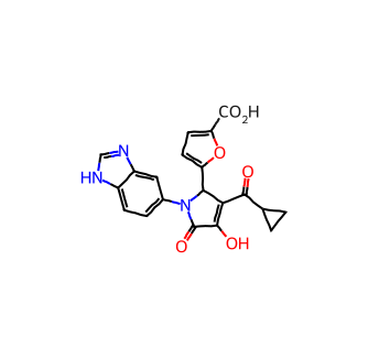 O=C(O)c1ccc(C2C(C(=O)C3CC3)=C(O)C(=O)N2c2ccc3[nH]cnc3c2)o1